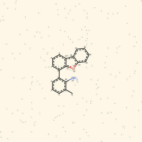 Cc1cccc(-c2cccc3c2oc2ccccc23)c1N